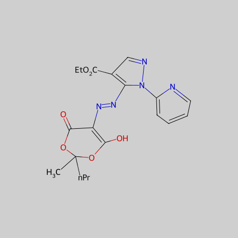 CCCC1(C)OC(=O)C(N=Nc2c(C(=O)OCC)cnn2-c2ccccn2)=C(O)O1